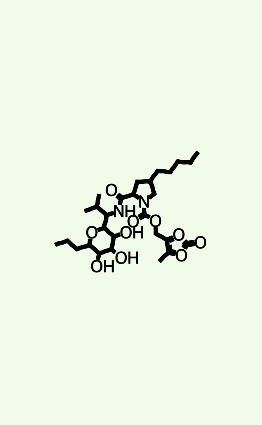 CCCCCC1CC(C(=O)NC(C(C)C)C2OC(CCC)C(O)C(O)C2O)N(C(=O)OCc2oc(=O)oc2C)C1